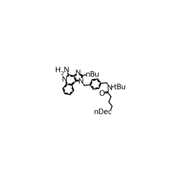 CCCCCCCCCCCCCC(=O)N(Cc1ccc(Cn2c(CCCC)nc3c(N)nc4ccccc4c32)cc1)C(C)(C)C